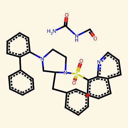 NC(=O)NC=O.O=S(=O)(c1cccc2cccnc12)N1CCN(c2ccccc2-c2ccccc2)CC1Cc1ccccc1